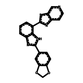 c1cc(-c2nc3ccncc3s2)c2[nH]c(-c3ccc4c(c3)OCO4)nc2c1